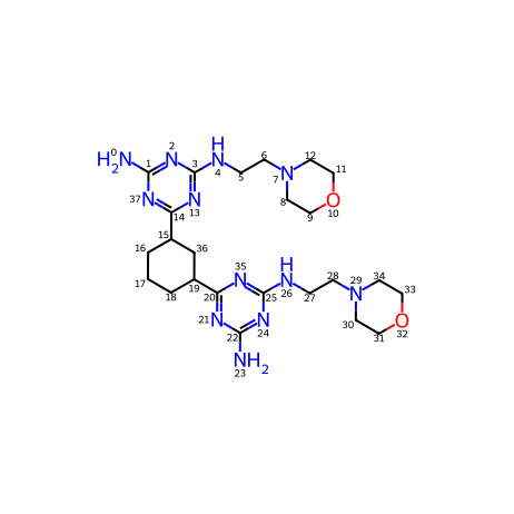 Nc1nc(NCCN2CCOCC2)nc(C2CCCC(c3nc(N)nc(NCCN4CCOCC4)n3)C2)n1